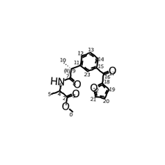 COC(=O)C(C)NC(=O)[C@H](C)c1cccc(C(=O)c2ccco2)c1